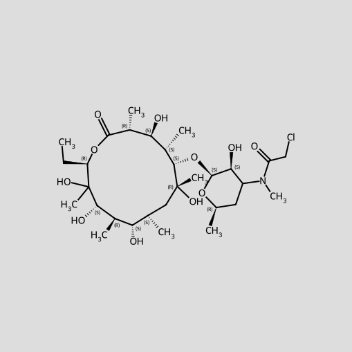 CC[C@H]1OC(=O)[C@H](C)[C@@H](O)[C@H](C)[C@H](O[C@@H]2O[C@H](C)CC(N(C)C(=O)CCl)[C@@H]2O)[C@](C)(O)C[C@H](C)[C@H](O)[C@@H](C)[C@H](O)C1(C)O